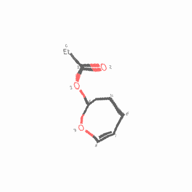 CCC(=O)OC1CCC=CO1